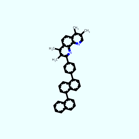 Cc1cnc2c(ccc3c(C)c(C)c(-c4ccc(-c5cccc6c(-c7cccc8ccccc78)cccc56)cc4)nc32)c1C